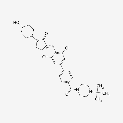 CC(C)(C)N1CCN(C(=O)c2ccc(-c3cc(Cl)c(C[C@@H]4CCN(C5CCC(O)CC5)C4=O)c(Cl)c3)cc2)CC1